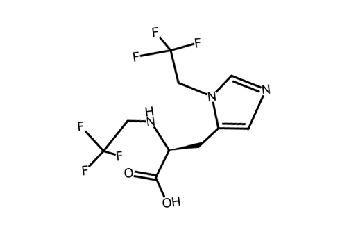 O=C(O)[C@H](Cc1cncn1CC(F)(F)F)NCC(F)(F)F